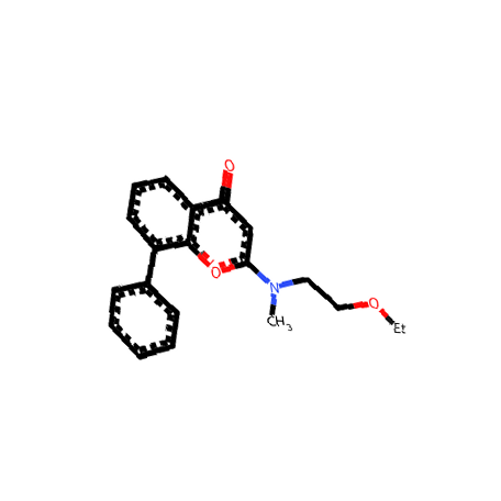 CCOCCN(C)c1cc(=O)c2cccc(-c3ccccc3)c2o1